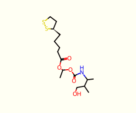 CC(OC(=O)CCCC[C@@H]1CCSS1)OC(=O)NC(C)C(C)CO